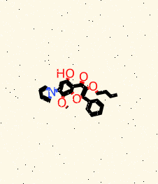 CCCCOc1c(-c2ccccc2)oc2c(OC)c(-n3cccc3)cc(O)c2c1=O